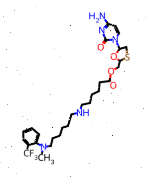 CN(CCCCCCNCCCCCC(=O)OCC1OC(n2ccc(N)nc2=O)CS1)c1ccccc1C(F)(F)F